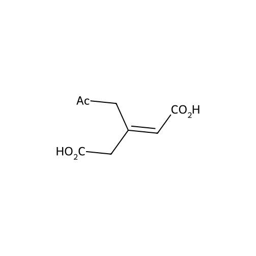 CC(=O)C/C(=C\C(=O)O)CC(=O)O